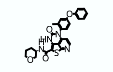 Cc1cc(Oc2ccccc2)ccc1N1C(=O)Nc2c(C(=O)N[C@H]3CCCOC3)sc3nccc1c23